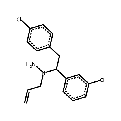 C=CCN(N)C(Cc1ccc(Cl)cc1)c1cccc(Cl)c1